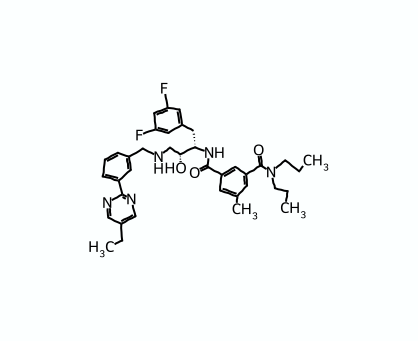 CCCN(CCC)C(=O)c1cc(C)cc(C(=O)N[C@@H](Cc2cc(F)cc(F)c2)[C@H](O)CNCc2cccc(-c3ncc(CC)cn3)c2)c1